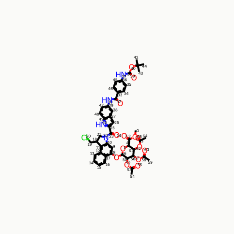 COC(=O)C1OC(Oc2cc3c(c4ccccc24)C(CCl)CN3C(=O)c2cc3cc(NC(=O)c4ccc(NC(=O)OC(C)(C)C)cc4)ccc3[nH]2)C(OC(C)=O)C(OC(C)=O)C1OC(C)=O